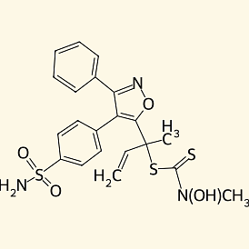 C=CC(C)(SC(=S)N(C)O)c1onc(-c2ccccc2)c1-c1ccc(S(N)(=O)=O)cc1